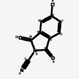 N#CN1C(=O)c2ccc(Cl)cc2C1=O